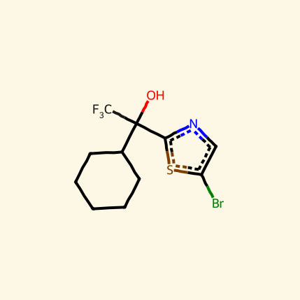 OC(c1ncc(Br)s1)(C1CCCCC1)C(F)(F)F